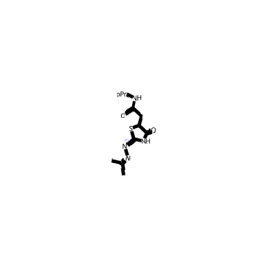 CCCNC(=O)CC1S/C(=N/N=C(C)C)NC1=O